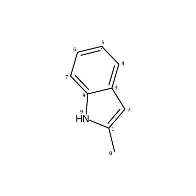 Cc1cc2c[c]ccc2[nH]1